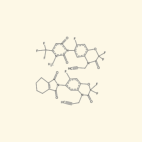 C#CCN1C(=O)C(F)(F)Oc2cc(F)c(-n3c(=O)cc(C(F)(F)F)n(C)c3=O)cc21.C#CCN1C(=O)C(F)(F)Oc2cc(F)c(N3C(=O)C4=C(CCCC4)C3=O)cc21